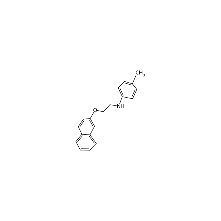 Cc1ccc(NCCOc2ccc3ccccc3c2)cc1